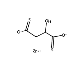 [O-]C(=S)CC(O)C([O-])=S.[Zn+2]